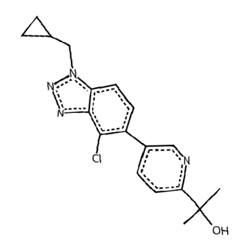 CC(C)(O)c1ccc(-c2ccc3c(nnn3CC3CC3)c2Cl)cn1